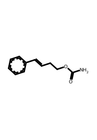 NC(=O)OCCC=Cc1ccccc1